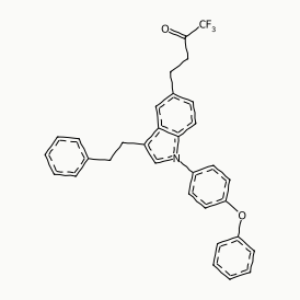 O=C(CCc1ccc2c(c1)c(CCc1ccccc1)cn2-c1ccc(Oc2ccccc2)cc1)C(F)(F)F